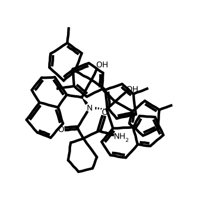 Cc1cccc(C(O)(c2cccc(C)c2)[C@H](c2cccc3ccccc23)N(C(=O)C2(C(N)=O)CCCCC2)[C@@H](c2cccc3ccccc23)C(O)(c2cccc(C)c2)c2cccc(C)c2)c1